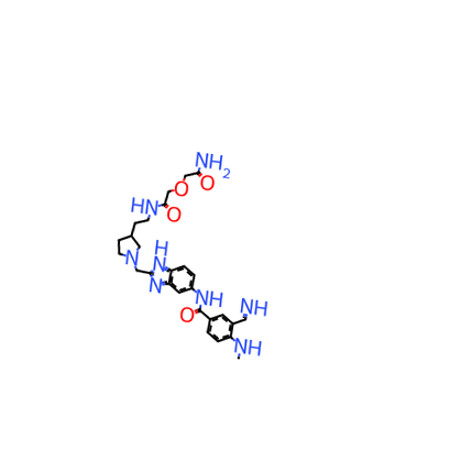 CNc1ccc(C(=O)Nc2ccc3[nH]c(CN4CCC(CCNC(=O)COCC(N)=O)C4)nc3c2)cc1C=N